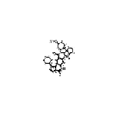 COC1CCN(C2(CNC(=O)c3cc4c(cc3C)[nH]c(=O)c3cnn(C5CCOCC5)c34)CCCC2)CC1